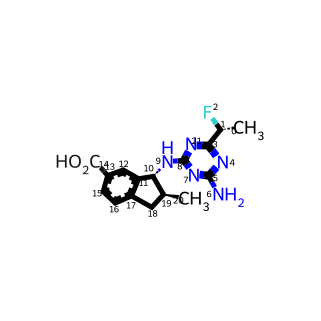 C[C@@H](F)c1nc(N)nc(N[C@H]2c3cc(C(=O)O)ccc3C[C@@H]2C)n1